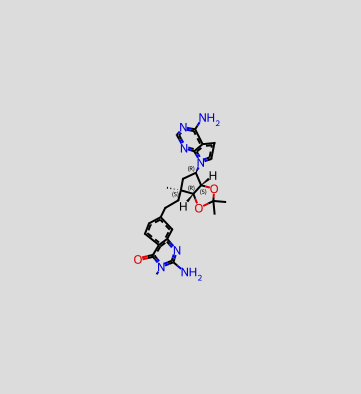 Cn1c(N)nc2cc(CC[C@@]3(C)C[C@@H](n4ccc5c(N)ncnc54)[C@@H]4OC(C)(C)O[C@@H]43)ccc2c1=O